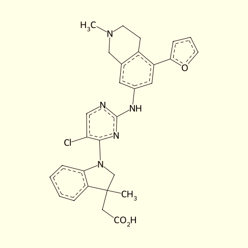 CN1CCc2c(cc(Nc3ncc(Cl)c(N4CC(C)(CC(=O)O)c5ccccc54)n3)cc2-c2ccco2)C1